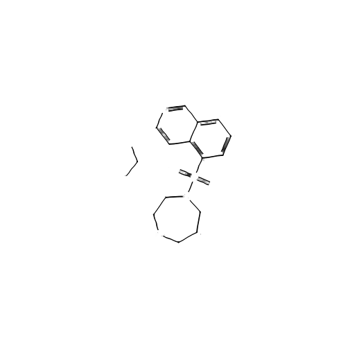 O=C(O)CCl.O=S(=O)(c1cccc2cnccc12)N1CCCNCC1